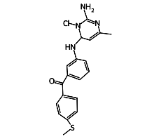 CSc1ccc(C(=O)c2cccc(NC3C=C(C)N=C(N)N3Cl)c2)cc1